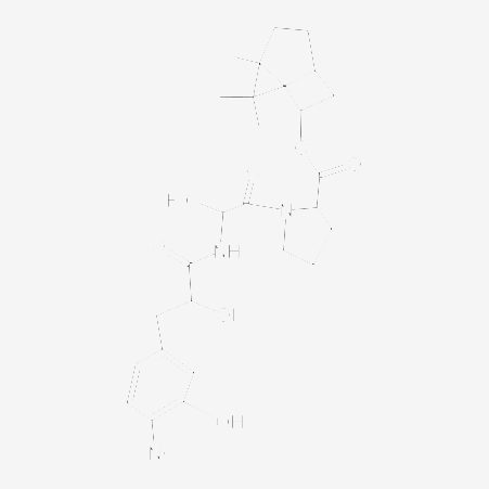 CC1(C)C2(C)CCC3CC(OC(=O)C4CCCN4C(=O)C(NC(=O)C(O)Cc4ccc(N=O)c(O)c4)C(F)(F)F)C312